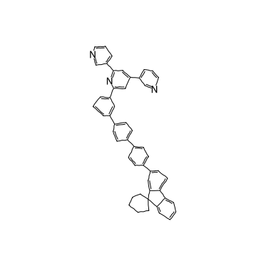 c1cncc(-c2cc(-c3cccnc3)nc(-c3cccc(-c4ccc(-c5ccc(-c6ccc7c(c6)C6(CCCCC6)c6ccccc6-7)cc5)cc4)c3)c2)c1